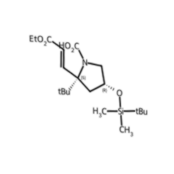 CCOC(=O)C=C[C@]1(C(C)(C)C)C[C@@H](O[Si](C)(C)C(C)(C)C)CN1C(=O)O